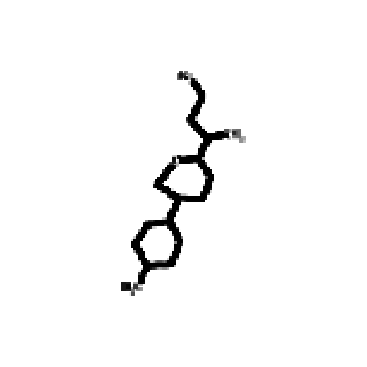 CCC(C)CCC(C)C1CCC(C2CCC(C)CC2)CO1